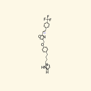 FC(F)(F)c1ccc(/C=C/c2nc(COc3ccc(CCCCN4C=CNN4)cc3)co2)cc1